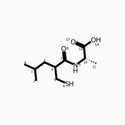 CC(C)CC(CS)C(=O)N[C@@H](C)C(=O)O